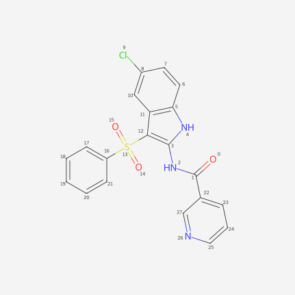 O=C(Nc1[nH]c2ccc(Cl)cc2c1S(=O)(=O)c1ccccc1)c1cccnc1